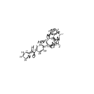 CC(C)(C)n1nc(-c2[nH]c3cc(C(=O)Nc4ccccn4)ccc3c2Cl)c2c(N)ncnc21